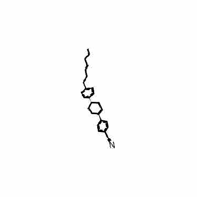 CCCCCCCc1ccc([C@H]2CC[C@H](c3ccc(C#N)cc3)CC2)cc1